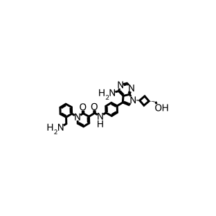 NCc1ccccc1-n1cccc(C(=O)Nc2ccc(-c3cn([C@H]4C[C@@H](CO)C4)c4ncnc(N)c34)cc2)c1=O